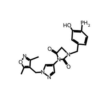 Cc1noc(C)c1Cn1cc(N2C(=O)CN(Cc3ccc(P)c(O)c3)C2=O)cn1